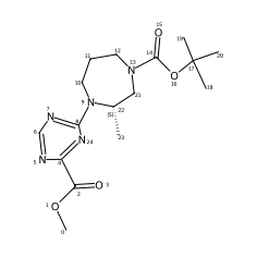 COC(=O)c1ncnc(N2CCCN(C(=O)OC(C)(C)C)C[C@@H]2C)n1